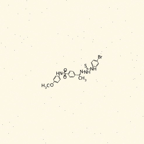 COc1ccc(NS(=O)(=O)c2ccc(C(C)=NNC(=S)Nc3ccc(Br)cc3)cc2)cc1